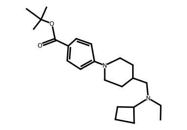 CCN(CC1CCN(c2ccc(C(=O)OC(C)(C)C)cc2)CC1)C1CCC1